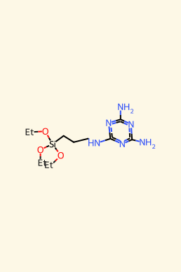 CCO[Si](CCCNc1nc(N)nc(N)n1)(OCC)OCC